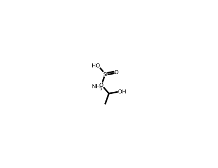 CC(O)O[Si](=O)O.N